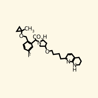 CC1(OCc2ccc(F)cc2C(C(=O)O)N2CCC(OCCCCc3ccc4c(n3)NCCC4)C2)CC1